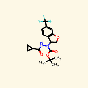 CC(C)(C)OC(=O)N(NC(=O)C1CC1)C1COc2cc(C(F)(F)F)ccc21